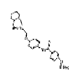 CCCCCCOc1ccc(C(=O)Oc2ccc(OCCCC3CCCCC3CCCCC)cc2)cc1